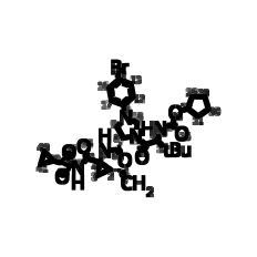 C=C[C@@H]1C[C@]1(NC(=O)[C@@H]1CN(c2ccc(Br)cc2)CN1C(=O)C(NC(=O)OC1CCCC1)C(C)(C)C)C(=O)NS(=O)(=O)C1CC1